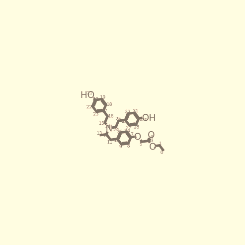 CCOC(=O)COc1ccc(CC(C)N(CCc2ccc(O)cc2)CCc2ccc(O)cc2)cc1